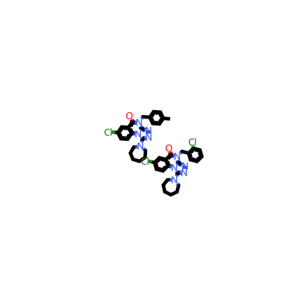 Cc1ccc(Cn2c(=O)c3cc(Cl)ccc3n3c(N4CCCCCC4)nnc23)cc1.O=c1c2cc(Cl)ccc2n2c(N3CCCCCC3)nnc2n1Cc1ccccc1Cl